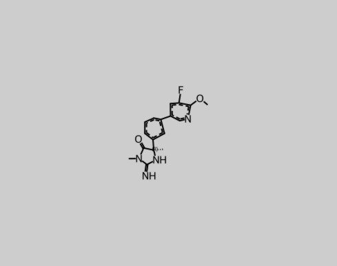 COc1ncc(-c2cccc([C@@]3(C)NC(=N)N(C)C3=O)c2)cc1F